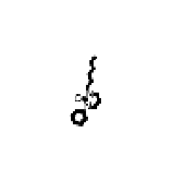 CCCCCCN1CC=CN(c2ccccc2)C1=O